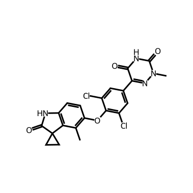 Cc1c(Oc2c(Cl)cc(-c3nn(C)c(=O)[nH]c3=O)cc2Cl)ccc2c1C1(CC1)C(=O)N2